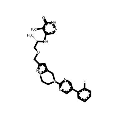 C[C@@H](COCc1cc2n(n1)CCN(c1ncc(-c3ccccc3F)cn1)C2)Nc1cn[nH]c(=O)c1C(F)(F)F